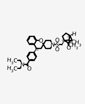 CCN(CC)C(=O)c1ccc([C@@H]2CC3(CCN(S(=O)(=O)C[C@]45CC[C@H](CC4=O)C5(C)C)CC3)Oc3ccccc32)cc1